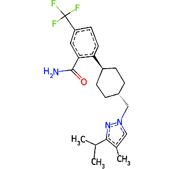 Cc1cn(C[C@H]2CC[C@H](c3ccc(C(F)(F)F)cc3C(N)=O)CC2)nc1C(C)C